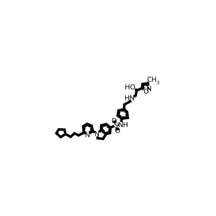 Cc1cc(C(O)CNCCc2ccc(NS(=O)(=O)c3ccc4c(c3)CCN4c3cccc(CCCC4CCCC4)n3)cc2)on1